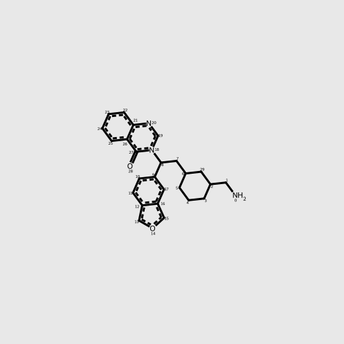 NCC1CCCC(CC(c2ccc3cocc3c2)n2cnc3ccccc3c2=O)C1